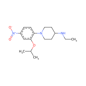 CCNC1CCN(c2ccc([N+](=O)[O-])cc2OC(C)C)CC1